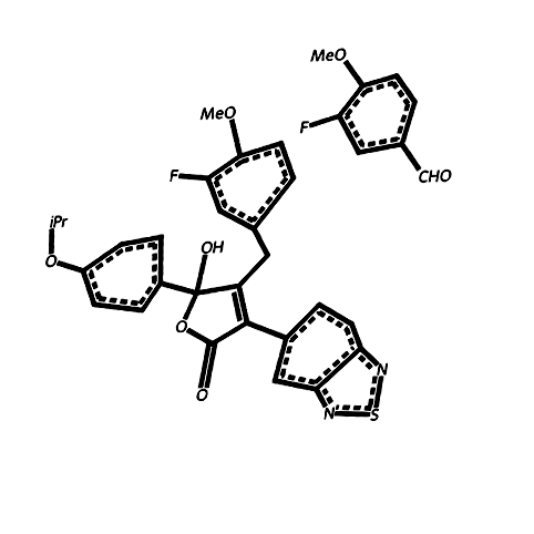 COc1ccc(C=O)cc1F.COc1ccc(CC2=C(c3ccc4nsnc4c3)C(=O)OC2(O)c2ccc(OC(C)C)cc2)cc1F